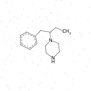 CC[C](Cc1ccccc1)N1CCNCC1